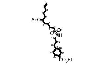 C=CCCCC(CCCCS(=O)(=O)NCCCc1ccc(C(=O)OCC)cc1)OC(C)=O